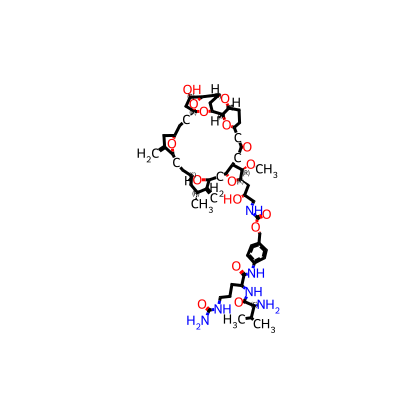 C=C1CC2CC[C@]34C[C@@H](O)C(O3)[C@H]3CC(O4)[C@H]4OC(CC[C@@H]4O3)CC(=O)CC3C(CC4O[C@@H](CCC1O2)C[C@@H](C)C4=C)O[C@H](CC(O)CNC(=O)OCc1ccc(NC(=O)C(CCCNC(N)=O)NC(=O)[C@@H](N)C(C)C)cc1)[C@@H]3OC